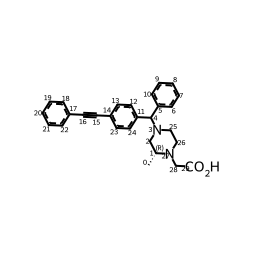 C[C@@H]1CN(C(c2ccccc2)c2ccc(C#Cc3ccccc3)cc2)CCN1CC(=O)O